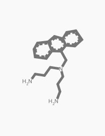 NCCCN(CCCN)Cc1c2ccccc2cc2ccccc12